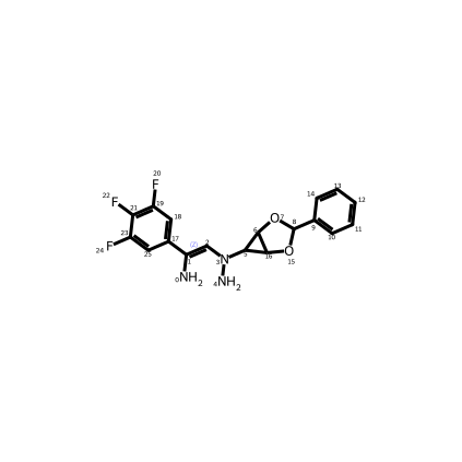 N/C(=C\N(N)C1C2OC(c3ccccc3)OC21)c1cc(F)c(F)c(F)c1